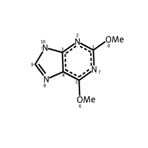 COc1nc2c(c(OC)n1)N=C[N]2